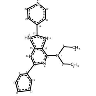 CCN(CC)c1nc(-c2ccccc2)nc2[nH]c(-c3ccncc3)nc12